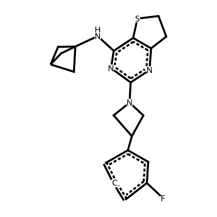 Fc1cccc(C2CN(c3nc4c(c(NC56CC(C5)C6)n3)SCC4)C2)c1